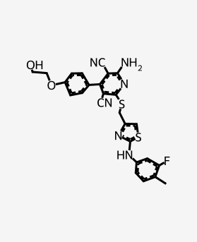 Cc1ccc(Nc2nc(CSc3nc(N)c(C#N)c(-c4ccc(OCCO)cc4)c3C#N)cs2)cc1F